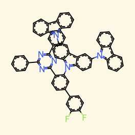 Fc1ccc(-c2ccc(-c3nc(-c4ccccc4)nc(-c4ccccc4)n3)c(-n3c4ccc(-n5c6ccccc6c6ccccc65)cc4c4cc(-n5c6ccccc6c6ccccc65)ccc43)c2)cc1F